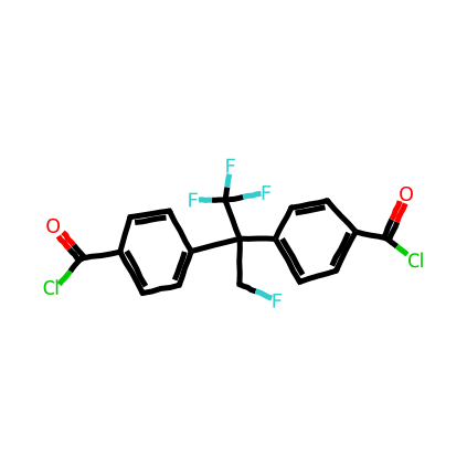 O=C(Cl)c1ccc(C(CF)(c2ccc(C(=O)Cl)cc2)C(F)(F)F)cc1